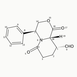 O=C[C@@H]1CCC(=O)N2[C@@H](c3ccccc3)COC(=O)[C@H]12